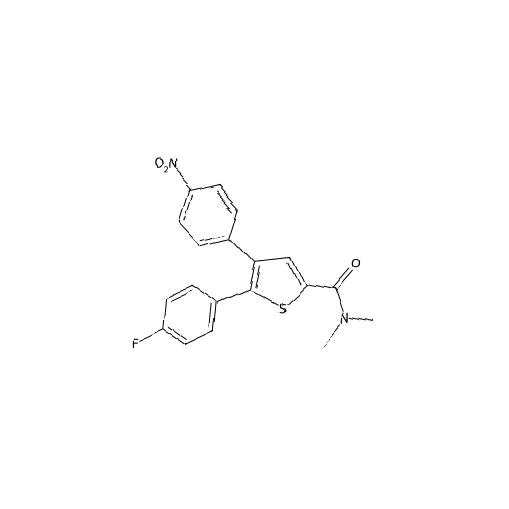 CN(C)C(=O)c1cc(-c2ccc([N+](=O)[O-])cc2)c(-c2ccc(F)cc2)s1